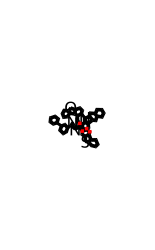 c1ccc(-c2cccc(-c3nc(-c4ccc5c(c4)sc4ccccc45)nc(-c4c(-n5c6ccccc6c6cc7ccccc7cc65)ccc5oc6ccccc6c45)n3)c2)cc1